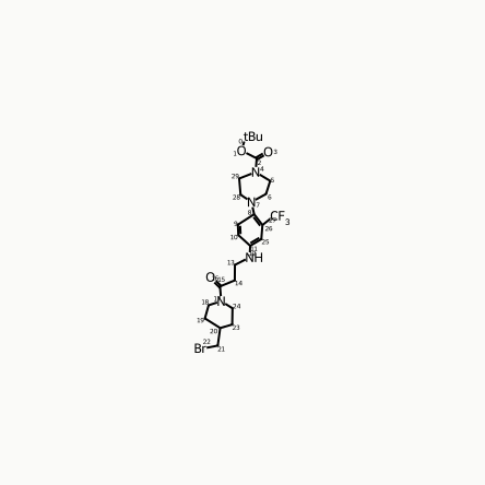 CC(C)(C)OC(=O)N1CCN(c2ccc(NCCC(=O)N3CCC(CBr)CC3)cc2C(F)(F)F)CC1